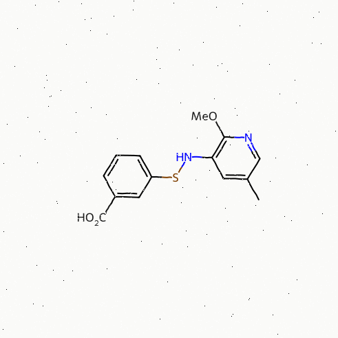 COc1ncc(C)cc1NSc1cccc(C(=O)O)c1